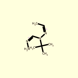 C/C=N\N(/C=N\N)C(C)(C)C